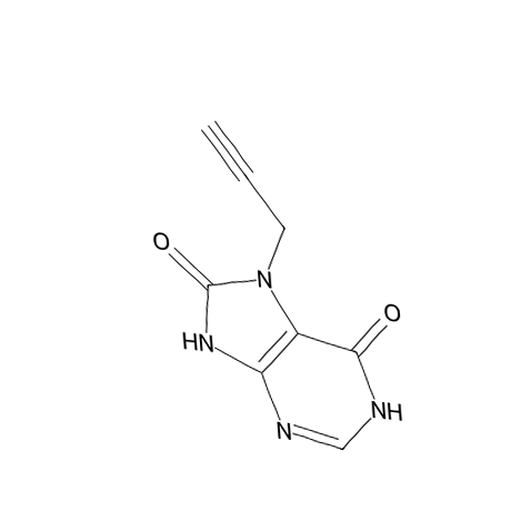 C#CCn1c(=O)[nH]c2nc[nH]c(=O)c21